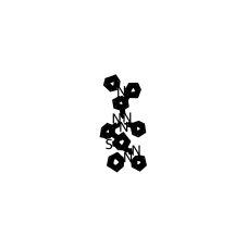 c1ccc(-c2nc(-c3ccc4c(c3)c3ccccc3n4-c3ccccc3)nc(-c3cccc4sc5cc(-c6nc7ccccc7n6-c6ccccc6)ccc5c34)n2)cc1